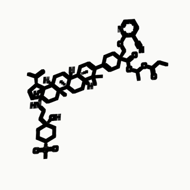 C=C(C)[C@@H]1CC[C@]2(NCC[C@]3(O)CC[C@@H](S(C)(=O)=O)CC3)CC[C@]3(C)[C@H](CC[C@@H]4[C@@]5(C)CC=C(C6=CC[C@@](COc7ncccc7C#N)(C(=O)OC(C)OC(=O)CC)CC6)C(C)(C)[C@@H]5CC[C@]43C)[C@@H]12